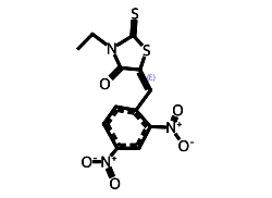 CCN1C(=O)/C(=C\c2ccc([N+](=O)[O-])cc2[N+](=O)[O-])SC1=S